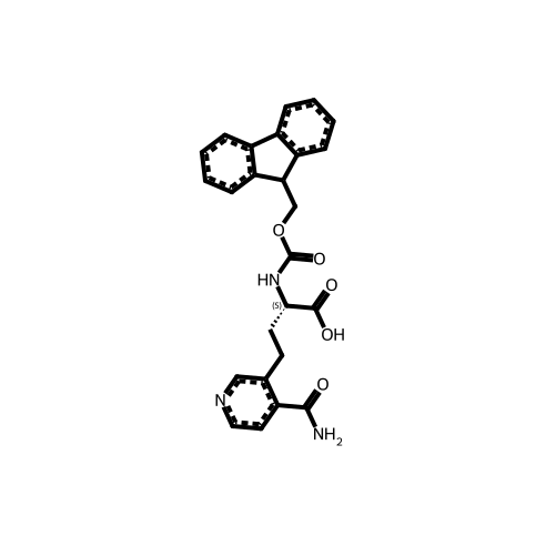 NC(=O)c1ccncc1CC[C@H](NC(=O)OCC1c2ccccc2-c2ccccc21)C(=O)O